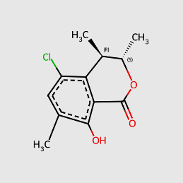 Cc1cc(Cl)c2c(c1O)C(=O)O[C@@H](C)[C@@H]2C